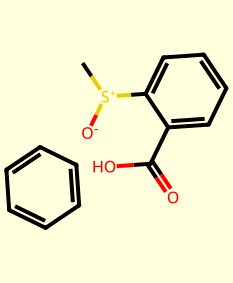 C[S+]([O-])c1ccccc1C(=O)O.c1ccccc1